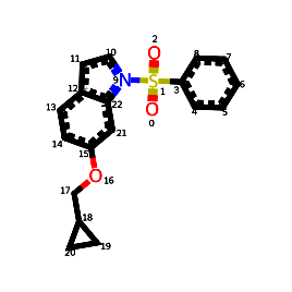 O=S(=O)(c1ccccc1)n1ccc2ccc(OCC3CC3)cc21